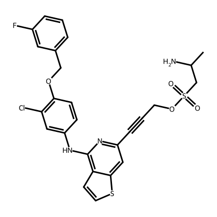 CC(N)CS(=O)(=O)OCC#Cc1cc2sccc2c(Nc2ccc(OCc3cccc(F)c3)c(Cl)c2)n1